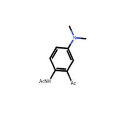 CC(=O)Nc1ccc(N(C)C)cc1C(C)=O